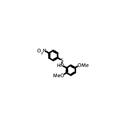 COc1ccc(OC)c(NSc2ccc([N+](=O)[O-])cc2)c1